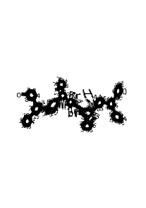 Cc1cccc(-c2cc(-c3ccccc3)cc(-c3ccc4[nH]c5c(-c6cc(Br)c(-c7cc8c9ccccc9sc8c8c7[nH]c7ccc(-c9cc(-c%10ccccc%10)cc(-c%10ccccc%10)c9)cc78)cc6Br)cc6c7ccccc7sc6c5c4c3)c2)c1